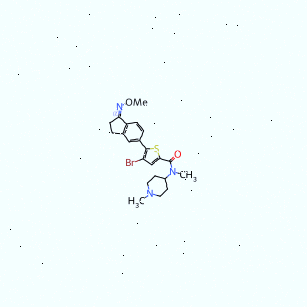 CO/N=C1/CCc2cc(-c3sc(C(=O)N(C)C4CCN(C)CC4)cc3Br)ccc21